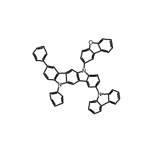 c1ccc(-c2ccc3c(c2)c2cc4c(cc2n3-c2ccccc2)c2cc(-n3c5ccccc5c5ccccc53)ccc2n4-c2ccc3oc4ccccc4c3c2)cc1